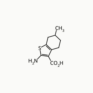 CC1CCc2c(sc(N)c2C(=O)O)C1